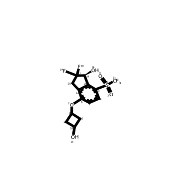 O=S(=O)(c1ccc(OC2CC(O)C2)c2c1[C@H](O)C(F)(F)C2)C(F)(F)F